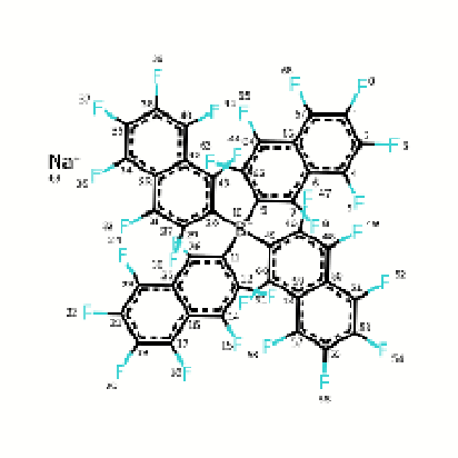 Fc1c(F)c(F)c2c(F)c([B-](c3c(F)c(F)c4c(F)c(F)c(F)c(F)c4c3F)(c3c(F)c(F)c4c(F)c(F)c(F)c(F)c4c3F)c3c(F)c(F)c4c(F)c(F)c(F)c(F)c4c3F)c(F)c(F)c2c1F.[Na+]